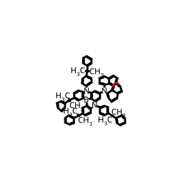 CC(C)(c1ccccc1)c1ccc(N2c3ccc(C(C)(C)c4ccccc4)cc3B3c4cc(C(C)(C)c5ccccc5)ccc4N(c4ccc(C(C)(C)c5ccccc5)cc4)c4cc(N(c5cccc6ccccc56)c5cccc6ccccc56)cc2c43)cc1